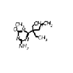 C=CCC(CC)(CC)c1nc(N)nc(OC)n1